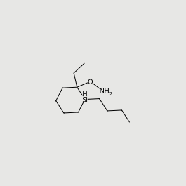 CCCC[SiH]1CCCCC1(CC)ON